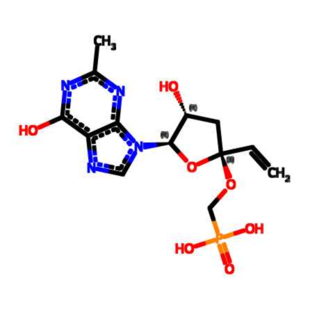 C=C[C@@]1(OCP(=O)(O)O)C[C@@H](O)[C@H](n2cnc3c(O)nc(C)nc32)O1